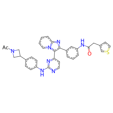 CC(=O)N1CC(c2ccc(Nc3nccc(-c4c(-c5cccc(NC(=O)Cc6ccsc6)c5)nc5ccccn45)n3)cc2)C1